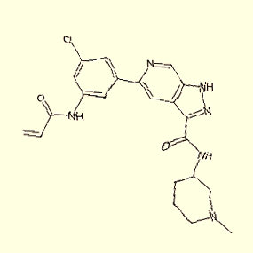 C=CC(=O)Nc1cc(Cl)cc(-c2cc3c(C(=O)NC4CCCN(C)C4)n[nH]c3cn2)c1